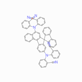 N#Cc1ccccc1N(c1ccc2c(c1)C1(c3ccccc3-c3ccccc31)c1cc(N(c3ccccc3C#N)c3ccccc3C#N)c3ccccc3c1-2)c1ccccc1C#N